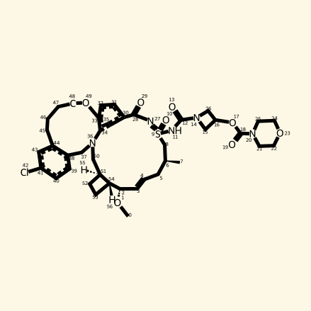 CO[C@H]1/C=C/C[C@H](C)CS(=O)(NC(=O)N2CC(OC(=O)N3CCOCC3)C2)=NC(=O)c2ccc3c(c2)N(Cc2ccc(Cl)cc2CCCCO3)C[C@@H]2CC[C@H]21